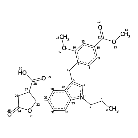 CCCn1cc(Cc2ccc(C(=O)OC)cc2OC)c2cc(C3OC(=O)CC3C(=O)O)ccc21